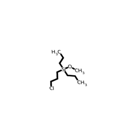 CCC[Si](CCC)(CCCCl)OC